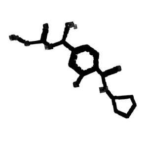 C[C@H](NC(=O)OC(C)(C)C)c1ccc(C(=O)NC2CCCC2)c(Cl)c1